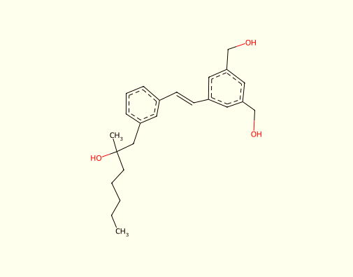 CCCCCC(C)(O)Cc1cccc(C=Cc2cc(CO)cc(CO)c2)c1